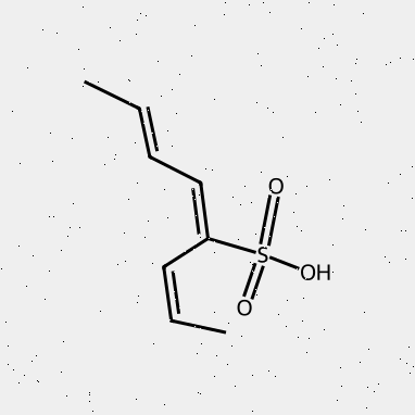 C\C=C/C(=C\C=C\C)S(=O)(=O)O